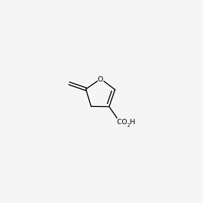 C=C1CC(C(=O)O)=CO1